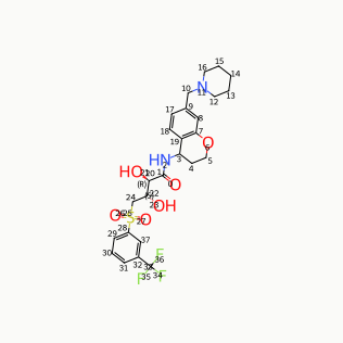 O=C(NC1CCOc2cc(CN3CCCCC3)ccc21)[C@H](O)[C@H](O)CS(=O)(=O)c1cccc(C(F)(F)F)c1